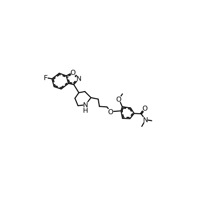 COc1cc(C(=O)N(C)C)ccc1OCCCC1CC(c2noc3cc(F)ccc23)CCN1